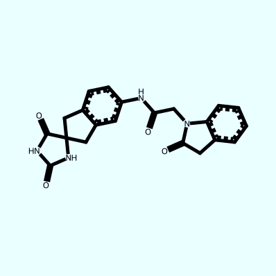 O=C(CN1C(=O)Cc2ccccc21)Nc1ccc2c(c1)CC1(C2)NC(=O)NC1=O